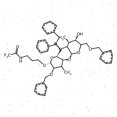 CC1C(OCc2ccccc2)[C@H](OCCCNC(=O)C(F)(F)F)O[C@@H](COCc2ccccc2)[C@H]1O[C@@H]1OC(COCc2ccccc2)[C@H](O)[C@H](C)C1OCc1ccccc1